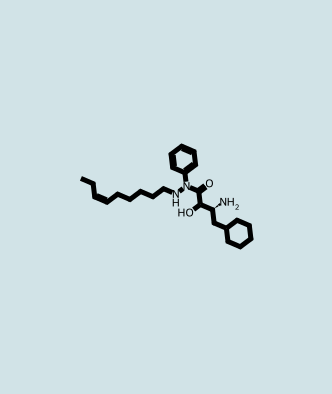 CC/C=C\CCCCCNN(C(=O)C(O)[C@H](N)CC1CCCCC1)c1ccccc1